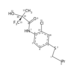 CC(C)CSc1ccc(NC(=O)[C@@](C)(O)C(F)(F)F)c(Cl)c1